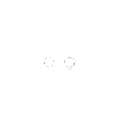 c1ccc(Cc2cnc(C3CCCCC3)nc2)cc1